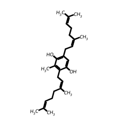 CC(C)=CCCC(C)=CCc1cc(O)c(CC=C(C)CCC=C(C)C)c(C)c1O